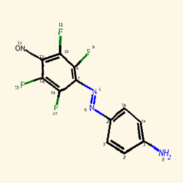 Nc1ccc(/N=N/c2c(F)c(F)c(N=O)c(F)c2F)cc1